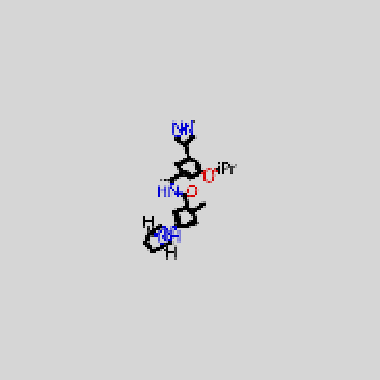 Cc1ccc(N2C[C@H]3CC[C@@H](C2)N3)cc1C(=O)N[C@H](C)c1cc(OC(C)C)cc(-c2cnn(C)c2)c1